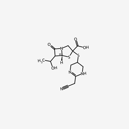 CC(O)C1C(=O)N2CC(SC3CN=C(CC#N)NC3)(C(=O)O)S[C@H]12